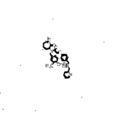 CCCOc1ccc(CN(C(=O)COc2ccc(CNCc3ccccn3)cc2)[C@H]2CCCCNC2=O)cc1C